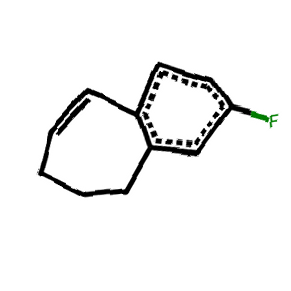 Fc1ccc2c(c1)CCCC=C2